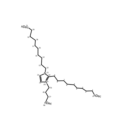 CCCCCCCCCCCCCCCCCCCc1n(CCCCCCCCCCCCCCCCCCC)cc[n+]1CCCCCCCCCCCCC